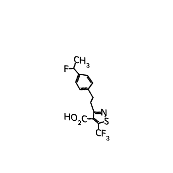 CC(F)c1ccc(CCc2nsc(C(F)(F)F)c2C(=O)O)cc1